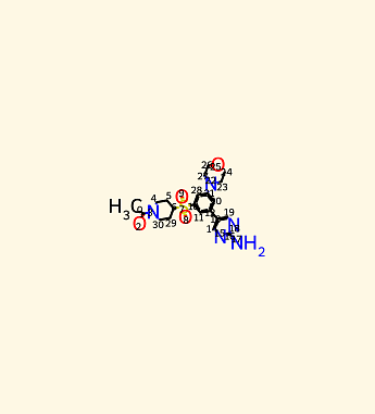 CC(=O)N1CCC(S(=O)(=O)c2cc(-c3cnc(N)nc3)cc(N3CCOCC3)c2)CC1